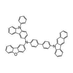 c1ccc(-n2c3ccccc3c3cc(N(c4ccc(-c5ccc(-n6c7ccccc7c7cc8ccccc8cc76)cc5)cc4)c4ccc5oc6ccccc6c5c4)ccc32)cc1